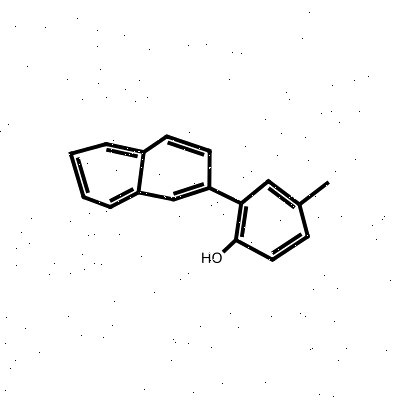 Cc1ccc(O)c(-c2ccc3ccccc3c2)c1